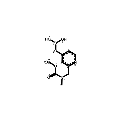 CN(Cc1cc(OB(O)O)ccn1)C(=O)OC(C)(C)C